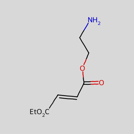 CCOC(=O)C=CC(=O)OCCN